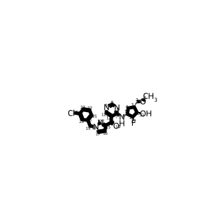 COC[C@H]1C[C@@H](Nc2ncncc2C(=O)c2ccn(Cc3cccc(Cl)c3)n2)[C@@H](F)[C@@H]1O